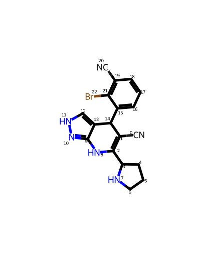 N#CC1=C(C2CCCN2)Nc2n[nH]cc2C1c1cccc(C#N)c1Br